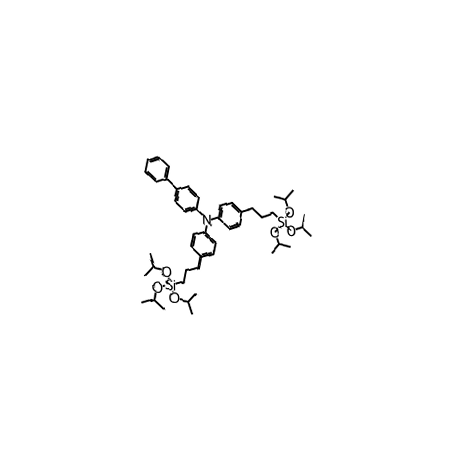 CC(C)O[Si](CCCc1ccc(N(c2ccc(CCC[Si](OC(C)C)(OC(C)C)OC(C)C)cc2)c2ccc(-c3ccccc3)cc2)cc1)(OC(C)C)OC(C)C